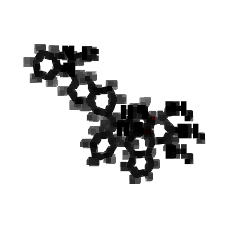 Bc1c(B)c(B)c(-c2ccccc2-c2c3ccccc3c(-c3ccc4cc(-n5c(CC)nc6ccccc65)ccc4c3)c3ccccc23)c(B)c1B